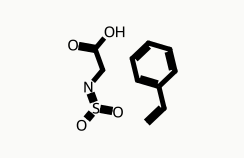 C=Cc1ccccc1.O=C(O)CN=S(=O)=O